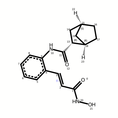 O=C(/C=C/c1ccccc1NC(=O)[C@@H]1C[C@H]2CC[C@@H]1C2)NO